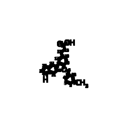 Cc1cccc(COc2ccc(CCC(=O)O)cc2-c2ccc3[nH]ccc3c2)c1